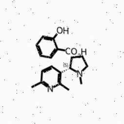 Cc1ccc([C@@H]2CCCN2C)c(C)n1.O=C(O)c1ccccc1O